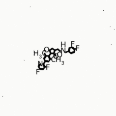 Cc1cc(-c2ncc(F)cc2F)cc(C)c1C1C(=O)CC(CC(=O)NCc2ccc(F)c(F)c2)C1=O